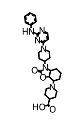 O=C(O)C1CCN(C2CCCC3C2OC(=O)N3C2CCN(c3ccnc(Nc4ccccc4)n3)CC2)CC1